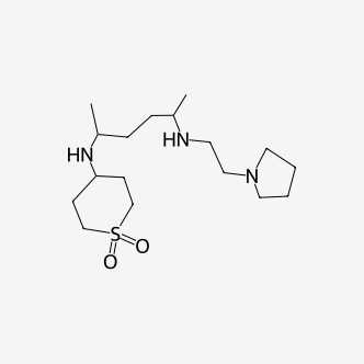 CC(CCC(C)NC1CCS(=O)(=O)CC1)NCCN1CCCC1